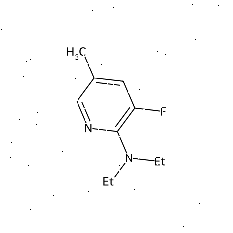 CCN(CC)c1ncc(C)cc1F